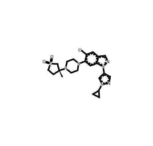 C[C@@]1(N2CCN(c3cc4c(cnn4-c4cnn(C5CC5)c4)cc3Cl)CC2)CCS(=O)(=O)C1